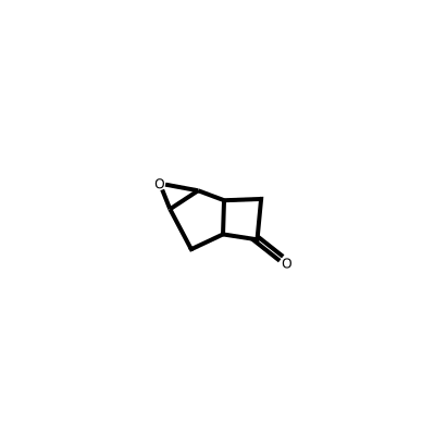 O=C1CC2C1CC1OC12